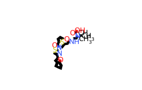 CC(C)(C)N(CCNC(=O)CCCN(C(=O)c1cccs1)c1nc(-c2cc3ccccc3o2)cs1)C(=O)O